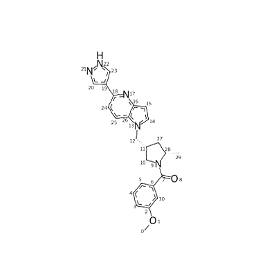 COc1cccc(C(=O)N2C[C@H](Cn3ccc4nc(-c5cn[nH]c5)ccc43)C[C@@H]2C)c1